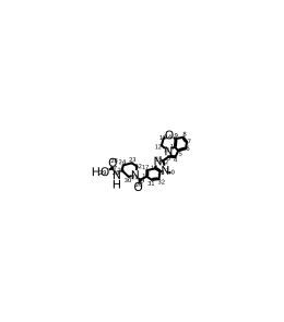 Cn1c(-c2cc3cccc4c3n2CCO4)nc2cc(C(=O)N3CCC[C@@H](NC(=O)O)C3)ccc21